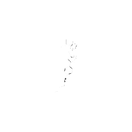 COCCC#Cc1ccc(-c2cc(Cn3ccnc3C(C)O)no2)cc1